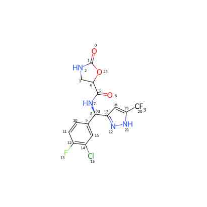 O=C1NCC(C(=O)N[C@H](c2ccc(F)c(Cl)c2)c2cc(C(F)(F)F)[nH]n2)O1